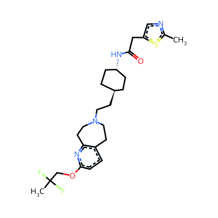 Cc1ncc(CC(=O)N[C@H]2CC[C@H](CCN3CCc4ccc(OCC(C)(F)F)nc4CC3)CC2)s1